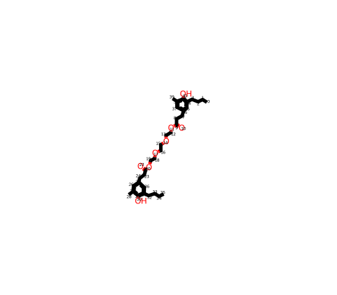 CCCCc1cc(CCC(=O)OCCOCCOCCOC(=O)CCc2cc(C)c(O)c(CCCC)c2)cc(C)c1O